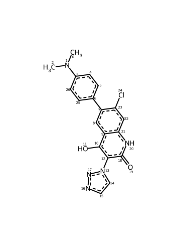 CN(C)c1ccc(-c2cc3c(O)c(-n4ccnn4)c(=O)[nH]c3cc2Cl)cc1